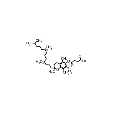 Cc1c(C)c2c(c(C)c1OC(=O)CCC(=O)O)CCC(C)(CCC[C@H](C)CCC[C@H](C)CCCC(C)C)O2